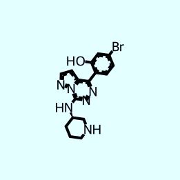 Oc1cc(Br)ccc1-c1nnc(N[C@@H]2CCCNC2)n2nccc12